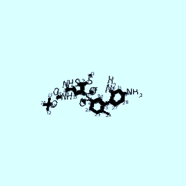 CSc1sc(C(=N)NC(=O)OC(C)(C)C)cc1S(=O)(=O)c1ccc(C)c(-c2ccc(N)cc2N)c1